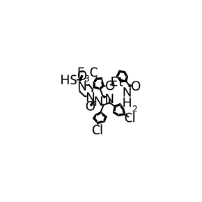 CCOc1cc(C(F)(F)F)ccc1C1=NC(c2ccc(Cl)cc2)C(c2ccc(Cl)cc2)N1C(=O)N1CCN(C(=O)S)CC1.NC(=O)c1ccccc1